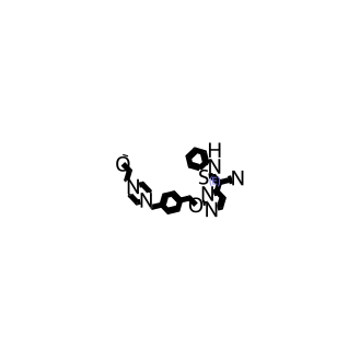 COCCN1CCN(Cc2ccc(COc3nccc(/C(C#N)=C4/Nc5ccccc5S4)n3)cc2)CC1